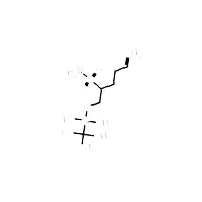 C=CCCC(CO[Si](C)(C)C(C)(C)C)S(N)(=O)=O